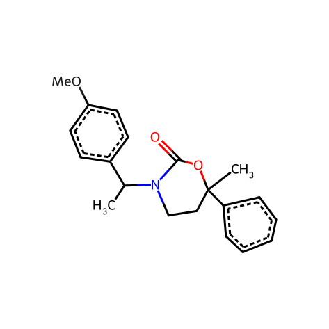 COc1ccc(C(C)N2CCC(C)(c3ccccc3)OC2=O)cc1